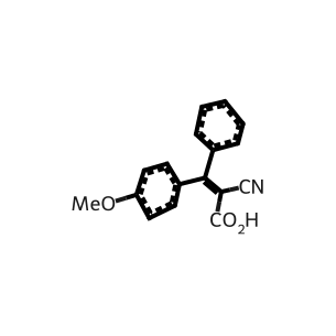 COc1ccc(/C(=C(/C#N)C(=O)O)c2ccccc2)cc1